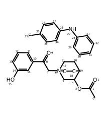 CC(=O)OC1C[N+]2(CC(=O)c3cccc(O)c3)CCC1CC2.Fc1ccc(Nc2ccccc2)cc1